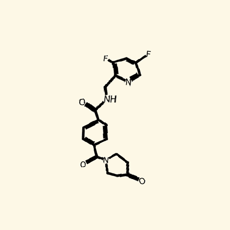 O=C1CCN(C(=O)c2ccc(C(=O)NCc3ncc(F)cc3F)cc2)CC1